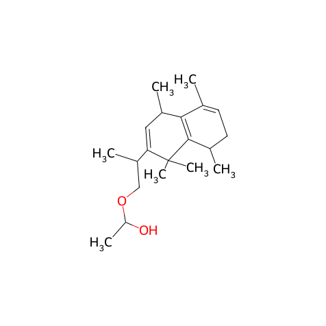 CC1=CCC(C)C2=C1C(C)C=C(C(C)COC(C)O)C2(C)C